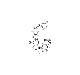 Cc1ccc(C(=O)NCc2ccc(Oc3ccccc3)cc2)c(=O)n1-c1cccc(C(F)(F)F)c1